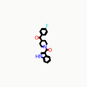 O=C(c1ccc(F)cc1)C1CCN(C(=O)c2c[nH]c3ccccc23)CC1